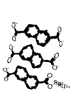 O=C([O-])c1ccc2cc(C(=O)[O-])ccc2c1.O=C([O-])c1ccc2cc(C(=O)[O-])ccc2c1.O=C([O-])c1ccc2cc(C(=O)[O-])ccc2c1.[Ru+3].[Ru+3]